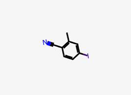 Cc1cc(I)ccc1C#N